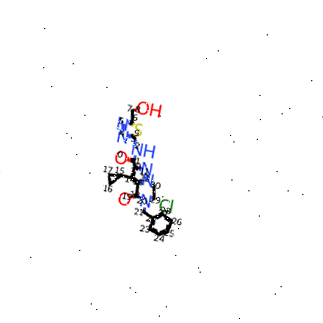 O=C(Nc1nnc(CO)s1)c1nn2c(c1C1CC1)C(=O)N(Cc1ccccc1Cl)CC2